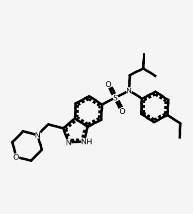 CCc1ccc(N(CC(C)C)S(=O)(=O)c2ccc3c(CN4CCOCC4)n[nH]c3c2)cc1